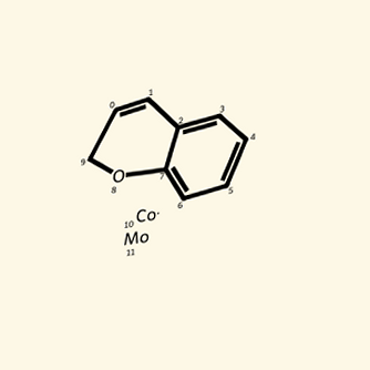 C1=Cc2ccccc2OC1.[Co].[Mo]